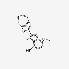 CBc1ccc(BC)c2c(C)c(C3=CC4=C=C(C=CC=C4)O3)sc12